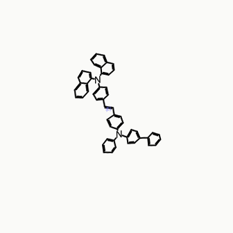 C(=C\c1ccc(N(c2cccc3ccccc23)c2cccc3ccccc23)cc1)/c1ccc(N(c2ccccc2)c2ccc(-c3ccccc3)cc2)cc1